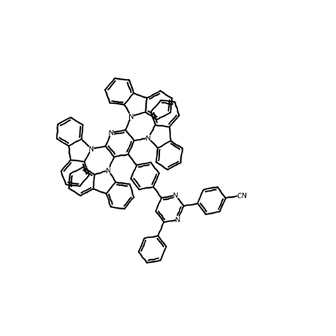 N#Cc1ccc(-c2nc(-c3ccccc3)cc(-c3ccc(-c4c(-n5c6ccccc6c6ccccc65)c(-n5c6ccccc6c6ccccc65)nc(-n5c6ccccc6c6ccccc65)c4-n4c5ccccc5c5ccccc54)cc3)n2)cc1